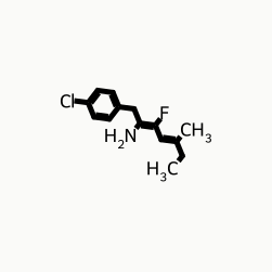 CC/C(C)=C/C(F)=C(\N)Cc1ccc(Cl)cc1